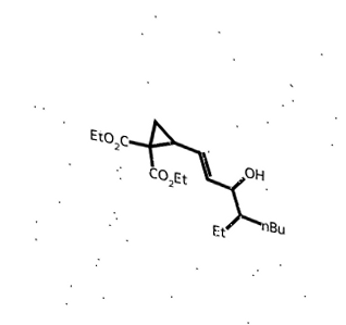 CCCCC(CC)C(O)/C=C/C1CC1(C(=O)OCC)C(=O)OCC